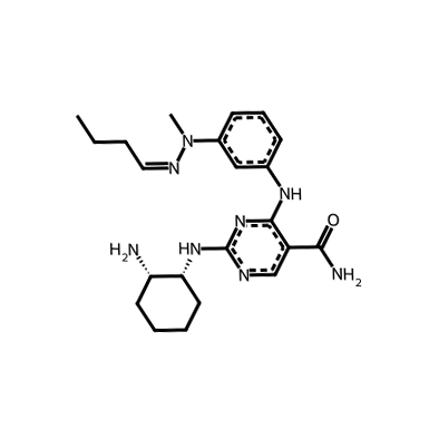 CCC/C=N\N(C)c1cccc(Nc2nc(N[C@@H]3CCCC[C@@H]3N)ncc2C(N)=O)c1